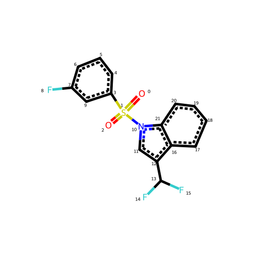 O=S(=O)(c1cccc(F)c1)n1cc(C(F)F)c2ccccc21